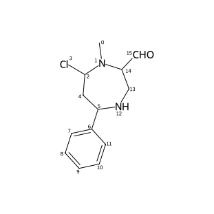 CN1C(Cl)CC(c2ccccc2)NCC1C=O